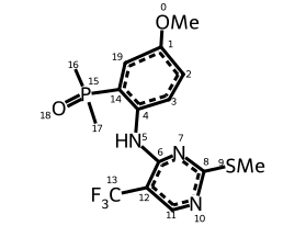 COc1ccc(Nc2nc(SC)ncc2C(F)(F)F)c(P(C)(C)=O)c1